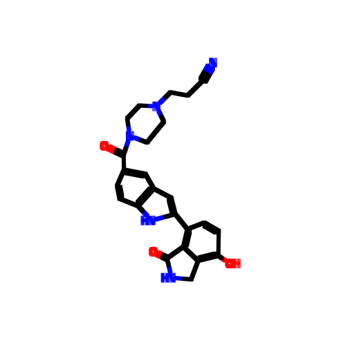 N#CCCN1CCN(C(=O)c2ccc3[nH]c(-c4ccc(O)c5c4C(=O)NC5)cc3c2)CC1